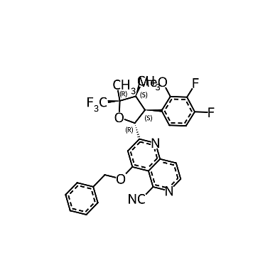 COc1c([C@H]2[C@H](c3cc(OCc4ccccc4)c4c(C#N)nccc4n3)O[C@@](C)(C(F)(F)F)[C@H]2C)ccc(F)c1F